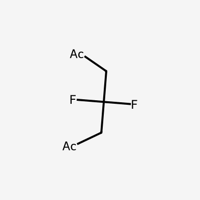 CC(=O)CC(F)(F)CC(C)=O